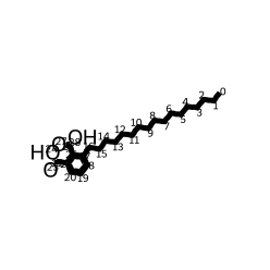 CCCCCCCCCCCCCCCCCc1cccc(C(=O)O)c1C(=O)O